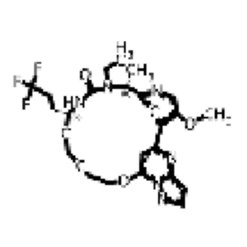 CCN1C(=O)N[C@@H](CCC(F)(F)F)CCCCCOc2cc(nc3ccnn23)-c2cc(ncc2OC)[C@H]1C